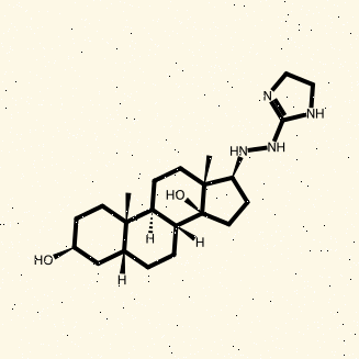 C[C@]12CC[C@H](O)C[C@H]1CC[C@@H]1[C@@H]2CC[C@]2(C)[C@@H](NNC3=NCCN3)CC[C@]12O